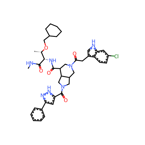 CNC(=O)[C@@H](NC(=O)C1CN(C(=O)Cc2c[nH]c3cc(Cl)ccc23)CC2CN(C(=O)c3cc(-c4ccccc4)n[nH]3)CC21)[C@H](C)OCC1CCCCC1